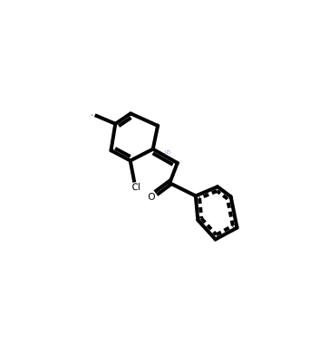 [CH2]C1=CC/C(=C/C(=O)c2ccccc2)C(Cl)=C1